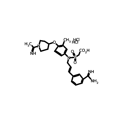 CC(=N)N1CCC(Oc2ccc(N(C/C=C/c3cccc(C(=N)N)c3)S(=O)(=O)CC(=O)O)cc2C)CC1.Cl.Cl